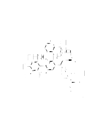 C=CC(=O)N1CCN(C2=C(C#N)C(O)N(c3c(C)ccnc3C(C)C)c3nc(-c4c(N)c(F)c(F)c(Cl)c4F)c(Cl)cc32)C[C@H]1C